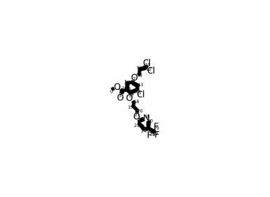 COC(=O)c1cc(OCC=C(Cl)Cl)cc(Cl)c1OCCCOc1ccc(C(F)(F)F)cn1